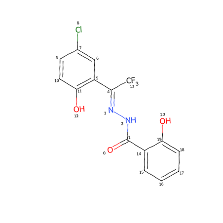 O=C(N/N=C(/c1cc(Cl)ccc1O)C(F)(F)F)c1ccccc1O